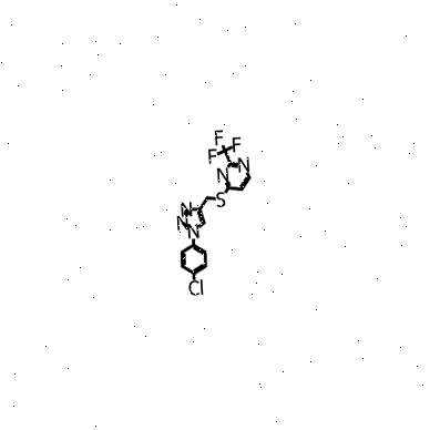 FC(F)(F)c1nccc(SCc2cn(-c3ccc(Cl)cc3)nn2)n1